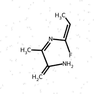 C=C(N)/C(C)=N\C(F)=C/C